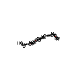 C=C(CO)C(=O)OCCCCOC(=O)Oc1ccc(-c2ccc(OC(=O)/C=C/c3ccc(OCCCCCCOC(=O)C(=C)CC(=O)OC4CCCCC4)cc3)cc2)cc1